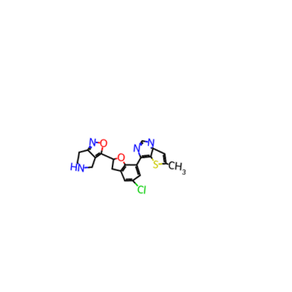 Cc1cc2ncnc(-c3cc(Cl)cc4c3OC(c3onc5c3CNCC5)C4)c2s1